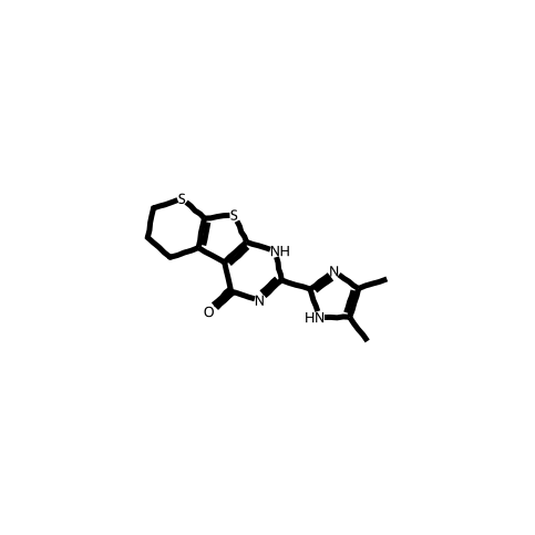 Cc1nc(-c2nc(=O)c3c4c(sc3[nH]2)SCCC4)[nH]c1C